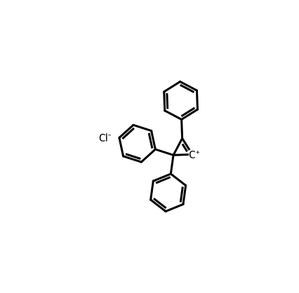 [C+]1=C(c2ccccc2)C1(c1ccccc1)c1ccccc1.[Cl-]